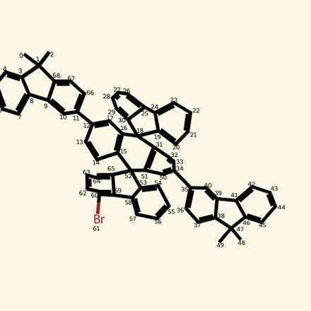 CC1(C)c2ccccc2-c2cc(-c3ccc4c(c3)C3(c5ccccc5-c5ccccc53)c3ccc(-c5ccc6c(c5)-c5ccccc5C6(C)C)cc3C43c4ccccc4-c4c(Br)cccc43)ccc21